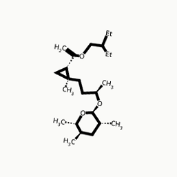 C=C(OCC(CC)CC)[C@H]1C[C@]1(C)CC[C@@H](C)O[C@@H]1O[C@@H](C)[C@H](C)C[C@H]1C